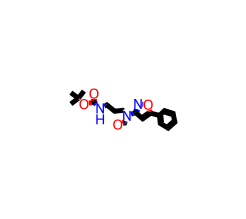 CC(C)(C)OC(=O)NCCCN(C=O)c1cc(-c2ccccc2)on1